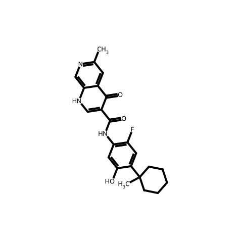 Cc1cc2c(=O)c(C(=O)Nc3cc(O)c(C4(C)CCCCC4)cc3F)c[nH]c2cn1